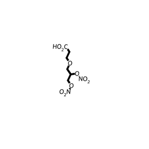 O=C(O)CCOCC(CO[N+](=O)[O-])O[N+](=O)[O-]